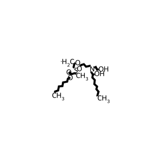 [CH2]C(CSC(C)C(=O)OCCCCCCCC)OC(=O)CCCN(CCO)CC(O)CCCCCCCC